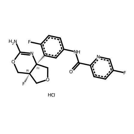 Cl.NC1=N[C@@]2(c3cc(NC(=O)c4ccc(F)cn4)ccc3F)COC[C@@]2(F)CO1